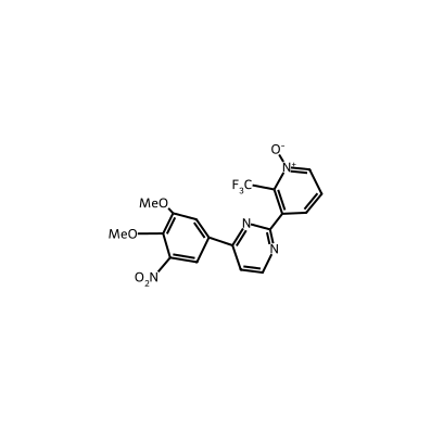 COc1cc(-c2ccnc(-c3ccc[n+]([O-])c3C(F)(F)F)n2)cc([N+](=O)[O-])c1OC